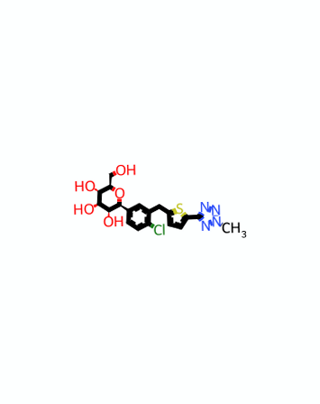 Cn1nnc(-c2ccc(Cc3cc([C@@H]4O[C@H](CO)[C@@H](O)[C@H](O)[C@H]4O)ccc3Cl)s2)n1